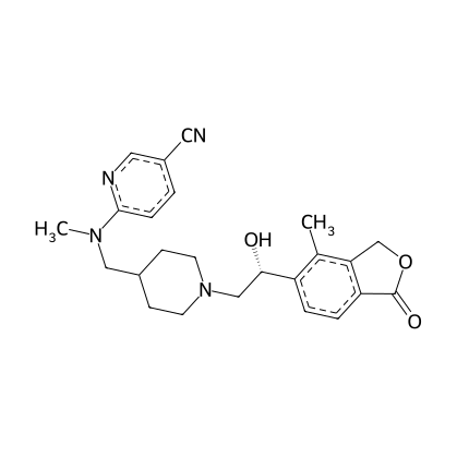 Cc1c([C@@H](O)CN2CCC(CN(C)c3ccc(C#N)cn3)CC2)ccc2c1COC2=O